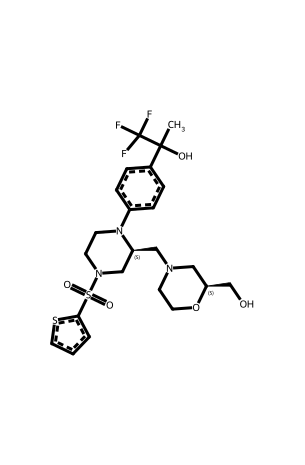 CC(O)(c1ccc(N2CCN(S(=O)(=O)c3cccs3)C[C@@H]2CN2CCO[C@H](CO)C2)cc1)C(F)(F)F